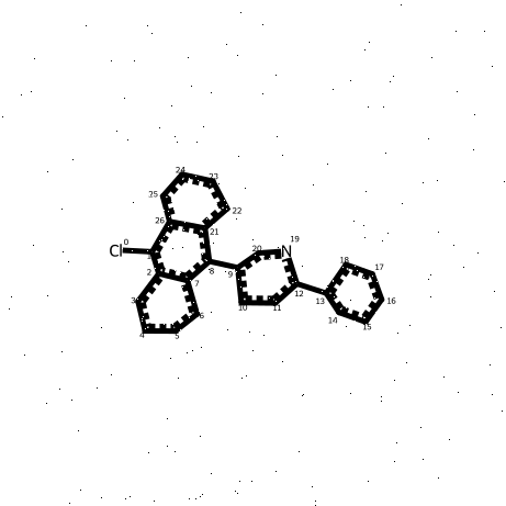 Clc1c2ccccc2c(-c2ccc(-c3ccccc3)nc2)c2ccccc12